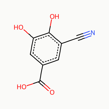 N#Cc1cc(C(=O)O)cc(O)c1O